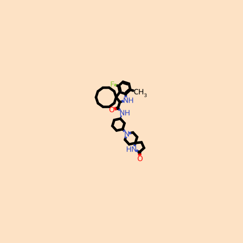 Cc1ccc(F)c2c1NC(C(=O)N[C@@H]1CCCC(N3CCC4(CCC(=O)N4)CC3)C1)C21CCCCCCCCC1